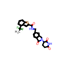 CC(F)(F)c1cccc2sc(C(=O)NCc3ccc4c(c3)CN(C3CCC(=O)NC3=O)C4=O)cc12